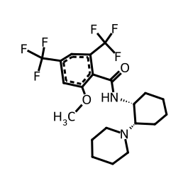 COc1cc(C(F)(F)F)cc(C(F)(F)F)c1C(=O)N[C@@H]1CCCC[C@@H]1N1CCCCC1